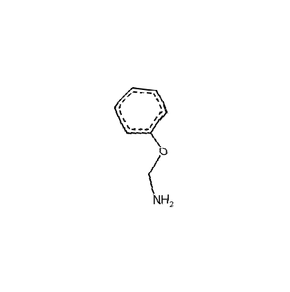 NCOc1ccccc1